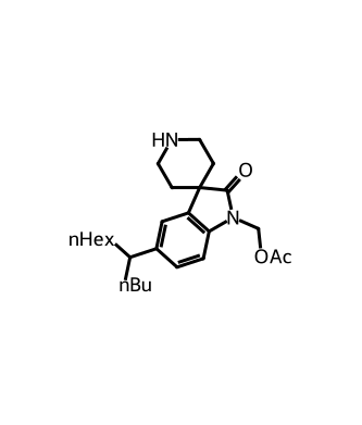 CCCCCCC(CCCC)c1ccc2c(c1)C1(CCNCC1)C(=O)N2COC(C)=O